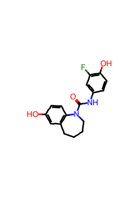 O=C(Nc1ccc(O)c(F)c1)N1CCCCc2cc(O)ccc21